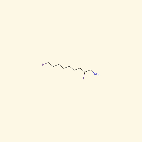 NCC(I)CCCCCCCI